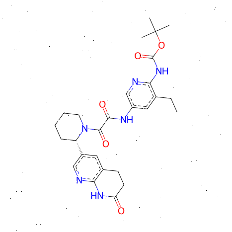 CCc1cc(NC(=O)C(=O)N2CCCC[C@H]2c2cnc3c(c2)CCC(=O)N3)cnc1NC(=O)OC(C)(C)C